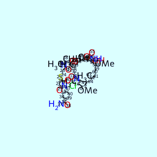 COc1cc2cc(c1Cl)N(C)C(=O)C[C@H](CC(=O)[C@H](C)N(C)C(=O)CCSC1CC(=O)N(C[C@H]3CC[C@H](C(N)=O)CC3)C1=O)[C@]1(C)O[C@H]1[C@H](C)[C@@H]1C[C@@](O)(NC(=O)O1)[C@H](OC)/C=C/C=C(\C)C2